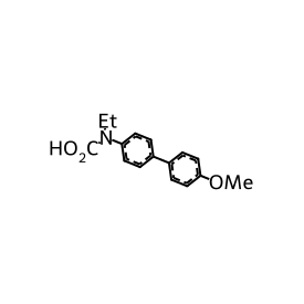 CCN(C(=O)O)c1ccc(-c2ccc(OC)cc2)cc1